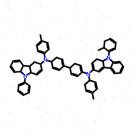 CC1=CCC(N(C2=CCC(C3=CCC(N(c4ccc(C)cc4)C4C=CC5C(C4)C4C=CC=CC4N5c4ccccc4)C=C3)C=C2)C2=CCC3C(=C2)c2ccccc2N3C2=CC=CCC2C)C=C1